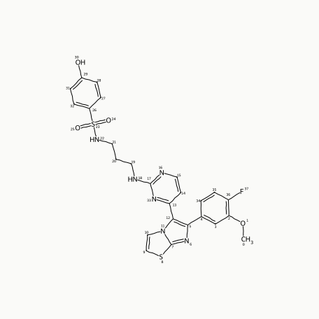 COc1cc(-c2nc3sccn3c2-c2ccnc(NCCCNS(=O)(=O)c3ccc(O)cc3)n2)ccc1F